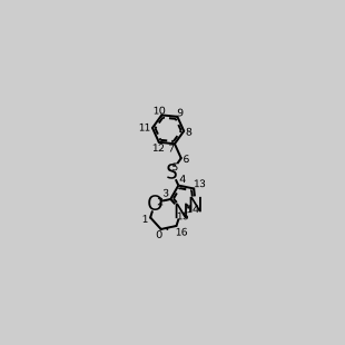 [CH]1COc2c(SCc3ccccc3)cnn2C1